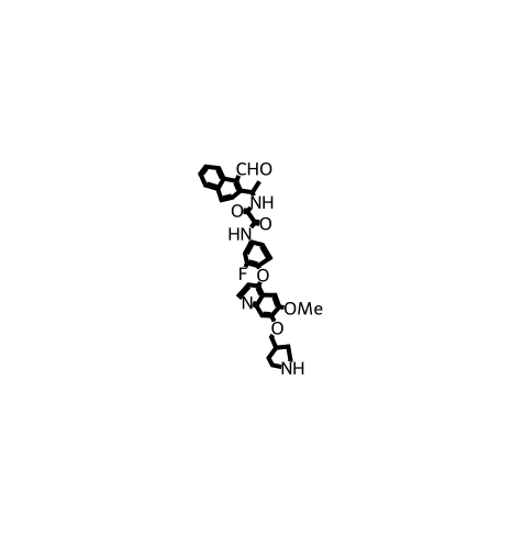 COc1cc2c(Oc3ccc(NC(=O)C(=O)NC(C)c4ccc5ccccc5c4C=O)cc3F)ccnc2cc1OCC1CCNCC1